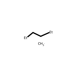 CCCCCC.[CH3]